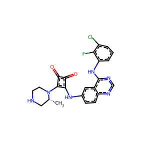 C[C@@H]1CNCCN1c1c(Nc2ccc3ncnc(Nc4cccc(Cl)c4F)c3c2)c(=O)c1=O